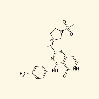 CS(=O)(=O)N1CC[C@H](Nc2nc(Nc3ccc(C(F)(F)F)cc3)c3c(=O)[nH]ccc3n2)C1